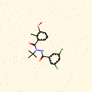 COc1cccc(C(=O)N(NC(=O)c2cc(Cl)cc(Br)c2)C(C)(C)C)c1C